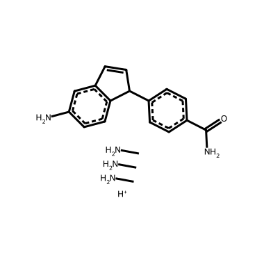 CN.CN.CN.NC(=O)c1ccc(C2C=Cc3cc(N)ccc32)cc1.[H+]